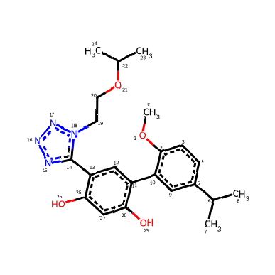 COc1ccc(C(C)C)cc1-c1cc(-c2nnnn2CCOC(C)C)c(O)cc1O